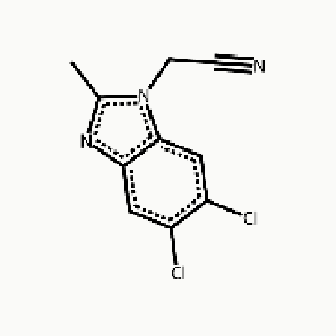 Cc1nc2cc(Cl)c(Cl)cc2n1CC#N